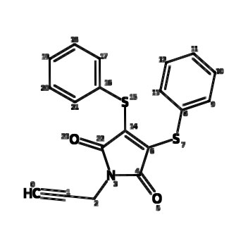 C#CCN1C(=O)C(Sc2ccccc2)=C(Sc2ccccc2)C1=O